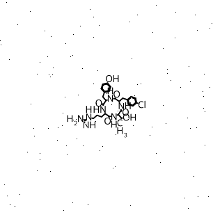 CC(O)C1NC(=O)C(CCCNC(=N)N)NC(=O)C(Cc2ccc(O)cc2)NC(=O)C(Cc2ccc(Cl)cc2)NC1=O